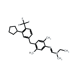 CCN(C)C=Nc1cc(C)c(Cc2ccc(C(F)(F)F)c(C3CCCC3)c2)cc1C